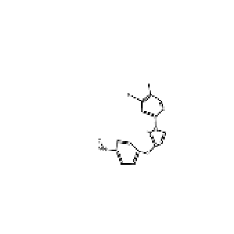 Cc1cnc(-n2ccc(Oc3ccc(NF)cc3)n2)cc1F